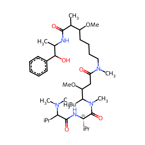 CCC(C)C(C(CC(=O)N(C)CCCCC(OC)C(C)C(=O)NC(C)C(O)c1ccccc1)OC)N(C)C(=O)[C@@H](NC(=O)C(C(C)C)N(C)C)C(C)C